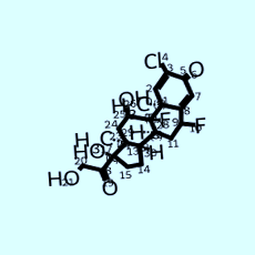 C[C@]12C=C(Cl)C(=O)C=C1C(F)C[C@H]1[C@@H]3CC[C@](O)(C(=O)CO)[C@@]3(C)CC(O)[C@@]12F